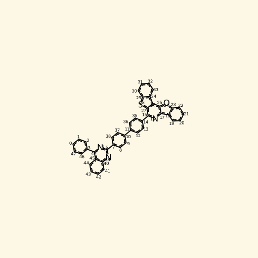 c1ccc(-c2nc(-c3ccc(-c4ccc(-c5nc6c7ccccc7oc6c6c5sc5ccccc56)cc4)cc3)nc3ccccc23)cc1